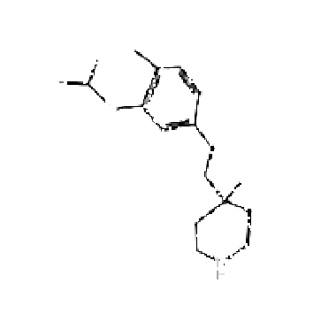 OC1(CCc2ccc(F)c(OC(F)F)c2)CCNCC1